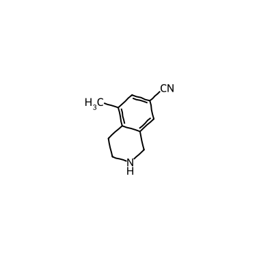 Cc1cc(C#N)cc2c1CCNC2